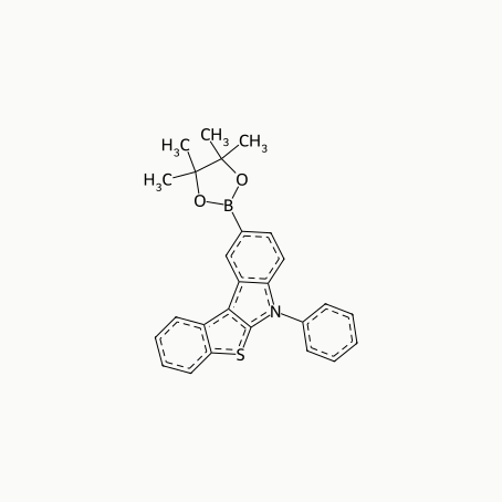 CC1(C)OB(c2ccc3c(c2)c2c4ccccc4sc2n3-c2ccccc2)OC1(C)C